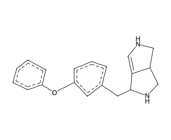 C1=C2C(CN1)CNC2Cc1cccc(Oc2ccccc2)c1